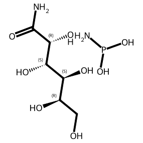 NC(=O)[C@H](O)[C@@H](O)[C@@H](O)[C@H](O)CO.NP(O)O